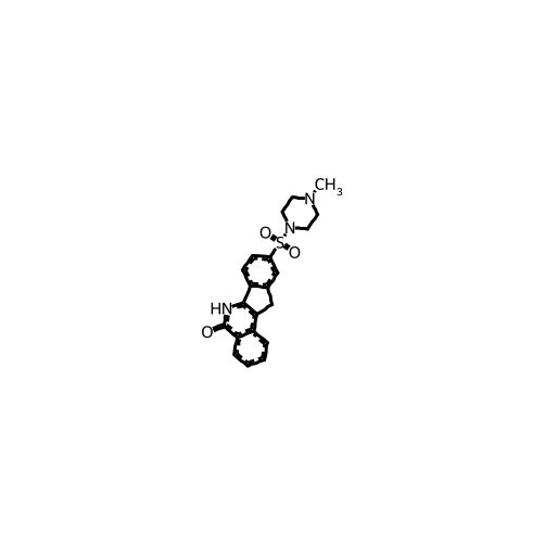 CN1CCN(S(=O)(=O)c2ccc3c(c2)Cc2c-3[nH]c(=O)c3ccccc23)CC1